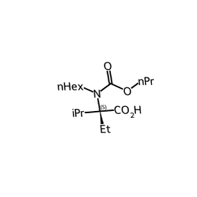 CCCCCCN(C(=O)OCCC)[C@](CC)(C(=O)O)C(C)C